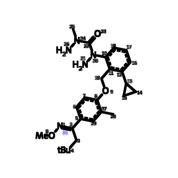 CO/N=C(\CC(C)(C)C)c1ccc(OCc2c(C3CC3)cccc2N(N)C(=O)N(C)N)c(C)c1